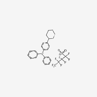 O=S(=O)([O-])C(F)(F)C(F)(F)C(F)(F)C(F)(F)F.c1ccc([S+](c2ccccc2)c2ccc(C3CCCCC3)cc2)cc1